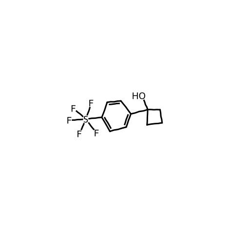 OC1(c2ccc(S(F)(F)(F)(F)F)cc2)CCC1